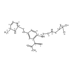 CC(=O)C(=N)c1cc(OCC2=NC=CC(C)N2)ccc1NCONCC1CC1(Cl)Cl